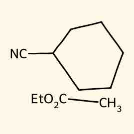 CCOC(C)=O.N#CC1CCCCC1